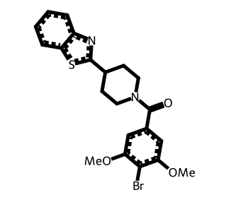 COc1cc(C(=O)N2CCC(c3nc4ccccc4s3)CC2)cc(OC)c1Br